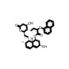 CCC(Oc1cccc2ccccc12)C(=O)O[C@H]1C[C@H](O)C=C2C=C[C@H](C)[C@H](CC[C@@H]3C[C@@H](O)CC(=O)O3)[C@H]21